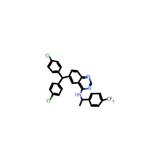 CC(Nc1ncnc2ccc(C(c3ccc(Cl)cc3)c3ccc(Cl)cc3)cc12)c1ccc(C(F)(F)F)cc1